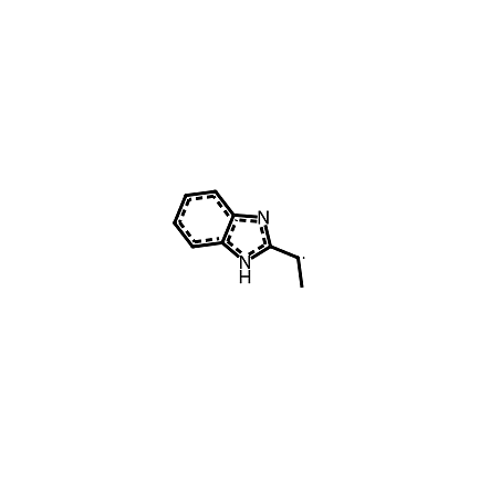 C[CH]c1nc2ccccc2[nH]1